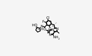 Cc1nc([C@@H](C)c2cc(Cl)c(F)c(C(=O)N[C@H]3CCC[C@H]3O)c2OC(C)C)n2ccnc(N)c12